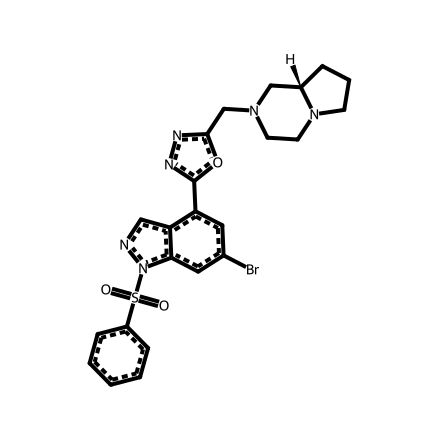 O=S(=O)(c1ccccc1)n1ncc2c(-c3nnc(CN4CCN5CCC[C@H]5C4)o3)cc(Br)cc21